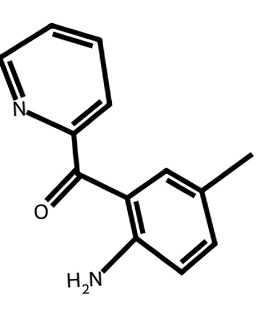 Cc1ccc(N)c(C(=O)c2ccccn2)c1